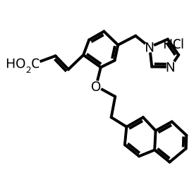 Cl.O=C(O)/C=C/c1ccc(Cn2ccnc2)cc1OCCc1ccc2ccccc2c1